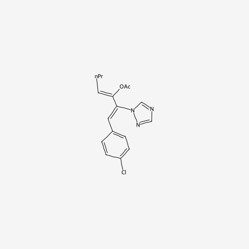 CCCC=C(OC(C)=O)C(=Cc1ccc(Cl)cc1)n1cncn1